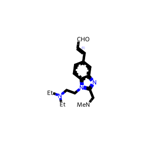 CCN(CC)CCn1c(CNC)nc2cc(/C=C/C=O)ccc21